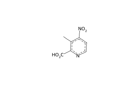 Cc1c([N+](=O)[O-])ccnc1C(=O)O